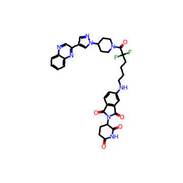 O=C1CCC(N2C(=O)c3ccc(NCCCCC(F)(F)C(=O)N4CCC(n5cc(-c6cnc7ccccc7n6)cn5)CC4)cc3C2=O)C(=O)N1